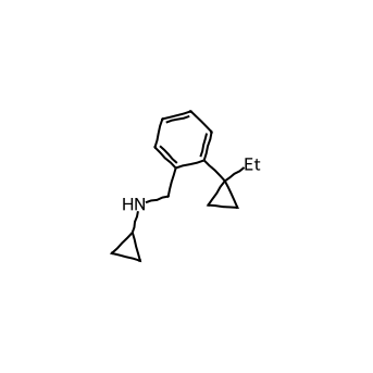 CCC1(c2ccccc2CNC2CC2)CC1